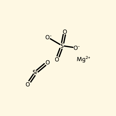 O=S(=O)([O-])[O-].O=[Si]=O.[Mg+2]